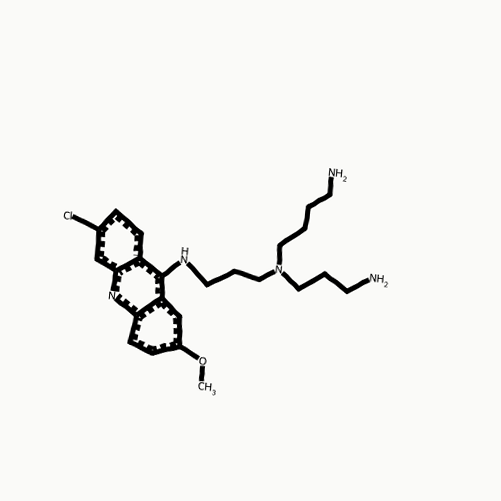 COc1ccc2nc3cc(Cl)ccc3c(NCCCN(CCCN)CCCCN)c2c1